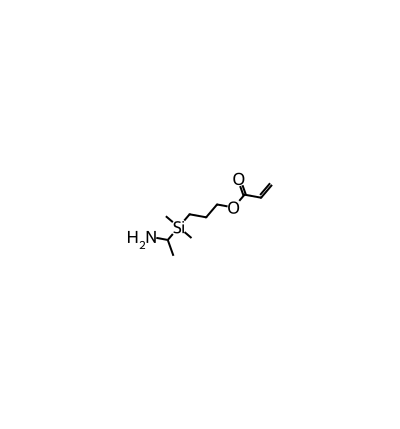 C=CC(=O)OCCC[Si](C)(C)C(C)N